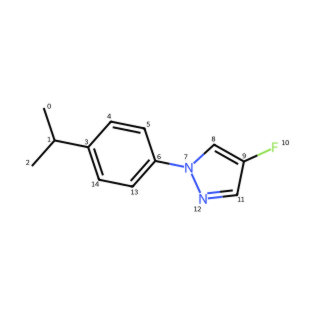 CC(C)c1ccc(-n2cc(F)cn2)cc1